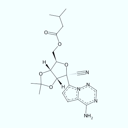 CC(C)CC(=O)OC[C@H]1O[C@@](C#N)(c2ccc3c(N)ncnn23)[C@@H]2OC(C)(C)O[C@@H]21